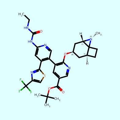 CCNC(=O)Nc1cc(-c2nc(C(F)(F)F)cs2)c(-c2cc(C(=O)OC(C)(C)C)cnc2O[C@@H]2C[C@@H]3CCC34[C@H](C2)[N@]4C)cn1